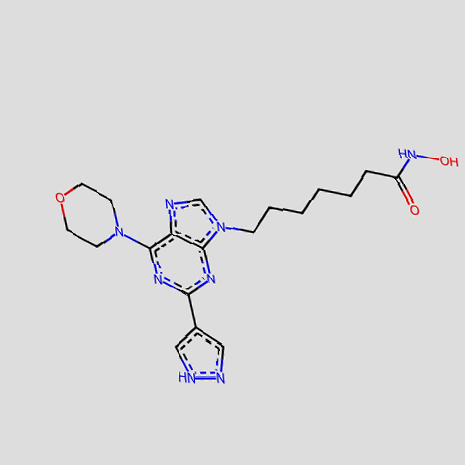 O=C(CCCCCCn1cnc2c(N3CCOCC3)nc(-c3cn[nH]c3)nc21)NO